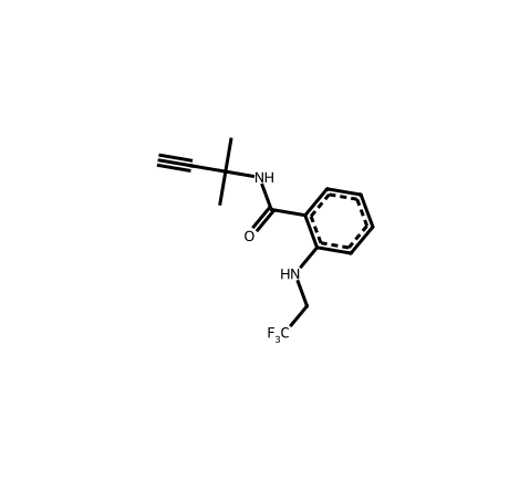 C#CC(C)(C)NC(=O)c1ccccc1NCC(F)(F)F